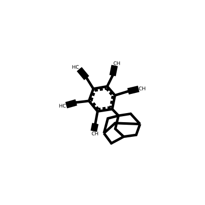 C#Cc1c(C#C)c(C#C)c(C23CC4CC(CC(C4)C2)C3)c(C#C)c1C#C